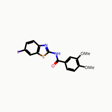 COc1ccc(C(=O)Nc2nc3ccc(I)cc3s2)cc1OC